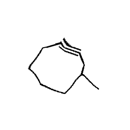 CC1C#CCCCC1